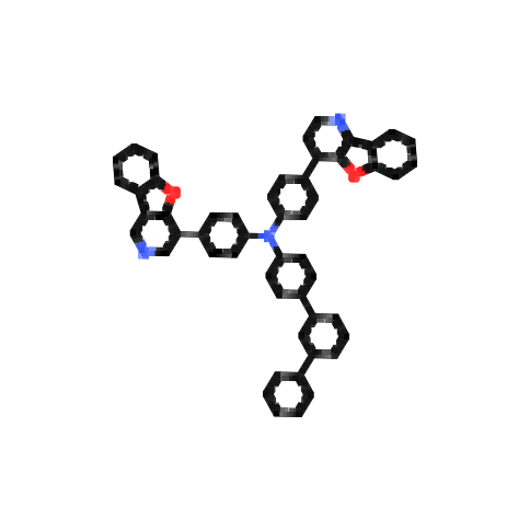 c1ccc(-c2cccc(-c3ccc(N(c4ccc(-c5cncc6c5oc5ccccc56)cc4)c4ccc(-c5ccnc6c5oc5ccccc56)cc4)cc3)c2)cc1